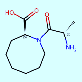 C[C@H](N)C(=O)N1CCCCCC[C@H]1C(=O)O